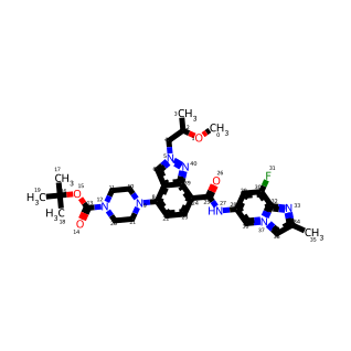 COC(C)Cn1cc2c(N3CCN(C(=O)OC(C)(C)C)CC3)ccc(C(=O)Nc3cc(F)c4nc(C)cn4c3)c2n1